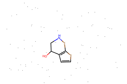 OC1CNSc2sccc21